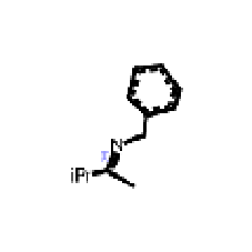 C/C(=N\Cc1ccccc1)C(C)C